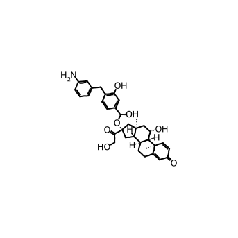 C[C@]12C[C@H](O)[C@H]3[C@@H](CCC4=CC(=O)C=C[C@@]43C)[C@@H]1C[C@@](O[C@H](O)c1ccc(Cc3cccc(N)c3)c(O)c1)(C(=O)CO)C2